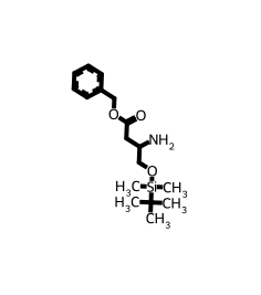 CC(C)(C)[Si](C)(C)OCC(N)CC(=O)OCc1ccccc1